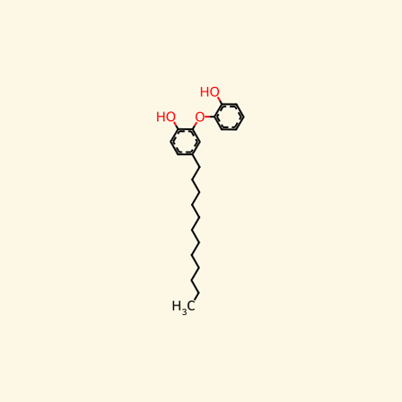 CCCCCCCCCCCCc1ccc(O)c(Oc2ccccc2O)c1